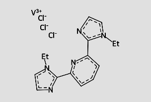 CCn1ccnc1-c1cccc(-c2nccn2CC)n1.[Cl-].[Cl-].[Cl-].[V+3]